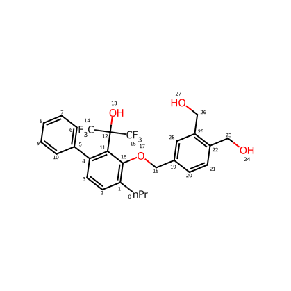 CCCc1ccc(-c2ccccc2)c(C(O)(C(F)(F)F)C(F)(F)F)c1OCc1ccc(CO)c(CO)c1